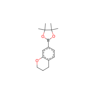 CC1(C)OB(c2ccc3c(c2)OCCC3)OC1(C)C